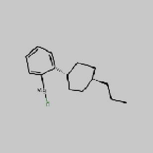 CCC[C@H]1CC[C@H](c2cccc[c]2[Mg][Cl])CC1